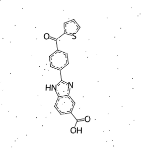 O=C(O)c1ccc2[nH]c(-c3ccc(C(=O)c4cccs4)cc3)nc2c1